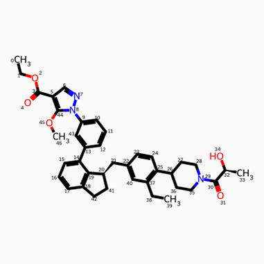 CCOC(=O)c1cnn(-c2cccc(-c3cccc4c3[C@@H](Cc3ccc(C5CCN(C(=O)[C@H](C)O)CC5)c(CC)c3)CC4)c2)c1OC